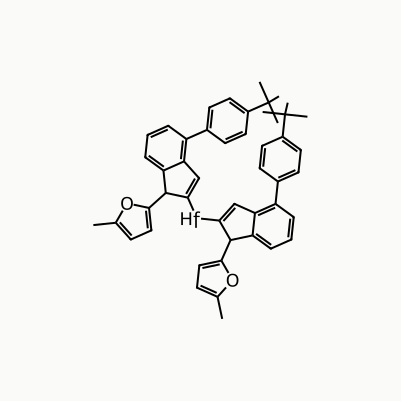 Cc1ccc(C2[C]([Hf][C]3=Cc4c(-c5ccc(C(C)(C)C)cc5)cccc4C3c3ccc(C)o3)=Cc3c(-c4ccc(C(C)(C)C)cc4)cccc32)o1